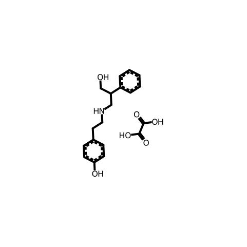 O=C(O)C(=O)O.OCC(CNCCc1ccc(O)cc1)c1ccccc1